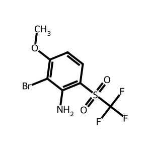 COc1ccc(S(=O)(=O)C(F)(F)F)c(N)c1Br